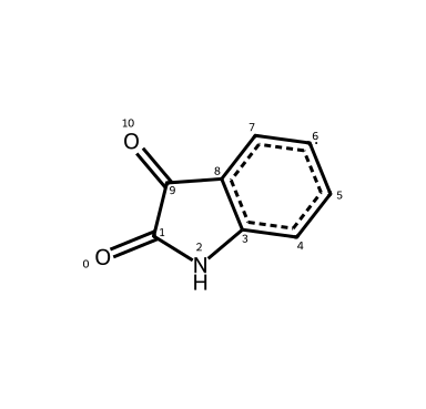 O=C1Nc2cc[c]cc2C1=O